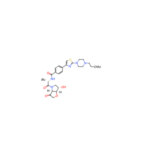 CC[C@H](C)[C@H](NC(=O)c1ccc(-c2csc(N3CCN(CCOC)CC3)n2)cc1)C(=O)N1C[C@H](O)[C@H]2OCC(=O)[C@H]21